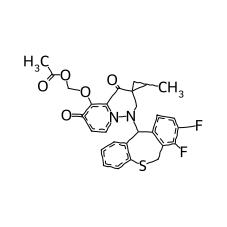 CC(=O)OCOc1c2n(ccc1=O)N(C1c3ccccc3SCc3c1ccc(F)c3F)CC1(CC1C)C2=O